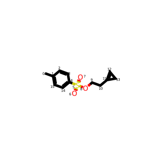 Cc1ccc(S(=O)(=O)OCCC2=CC2)cc1